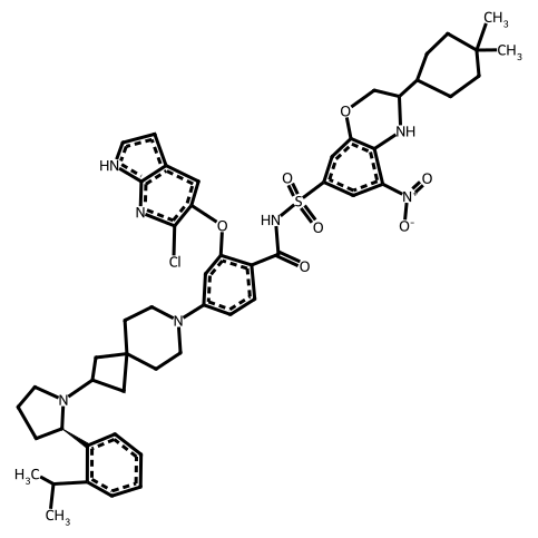 CC(C)c1ccccc1[C@H]1CCCN1C1CC2(CCN(c3ccc(C(=O)NS(=O)(=O)c4cc5c(c([N+](=O)[O-])c4)NC(C4CCC(C)(C)CC4)CO5)c(Oc4cc5cc[nH]c5nc4Cl)c3)CC2)C1